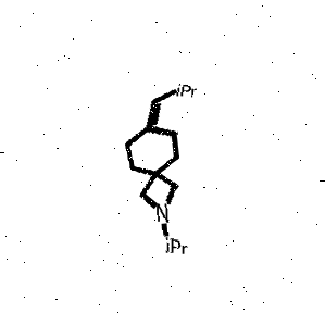 CC(C)C=C1CCC2(CC1)CN(C(C)C)C2